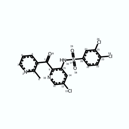 Cc1ncccc1C(=O)c1ncc(Cl)cc1NS(=O)(=O)c1ccc(Cl)c(Cl)c1